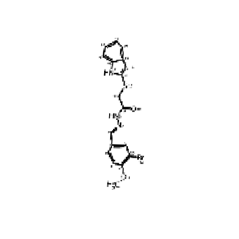 COc1ccc(/C=N/NC(=O)CSc2nc3ccccc3[nH]2)cc1Br